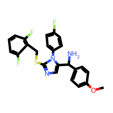 COc1ccc(C(N)c2cnc(SCc3c(F)cccc3F)n2-c2ccc(F)cc2)cc1